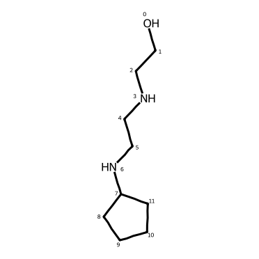 OCCNCCNC1CCCC1